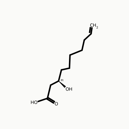 C=CCCCCC[C@@H](O)CC(=O)O